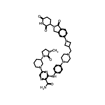 CN1CCN([C@@H]2CCCN(c3cnc(C(N)=O)c(Nc4ccc(N5CCN(CC6CN(c7ccc8c(c7)CN(C7CCC(=O)NC7=O)C8=O)C6)CC5)cc4)n3)C2)C1=O